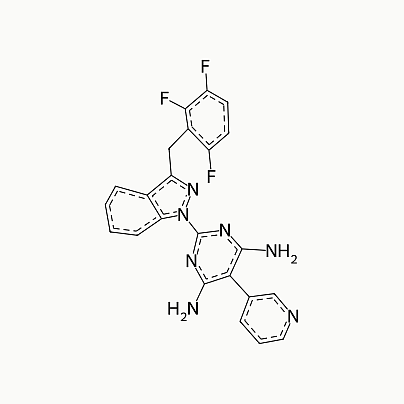 Nc1nc(-n2nc(Cc3c(F)ccc(F)c3F)c3ccccc32)nc(N)c1-c1cccnc1